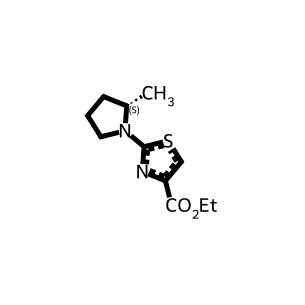 CCOC(=O)c1csc(N2CCC[C@@H]2C)n1